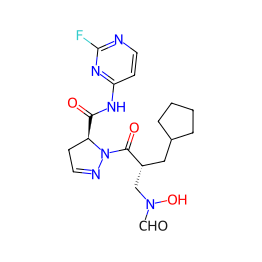 O=CN(O)C[C@@H](CC1CCCC1)C(=O)N1N=CC[C@H]1C(=O)Nc1ccnc(F)n1